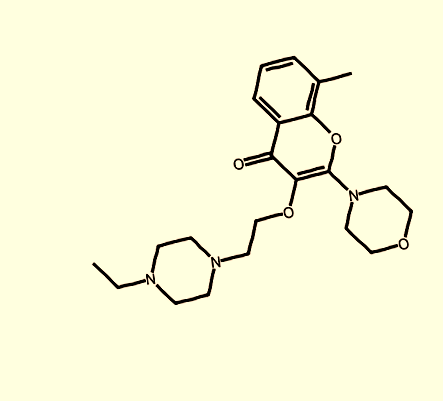 CCN1CCN(CCOc2c(N3CCOCC3)oc3c(C)cccc3c2=O)CC1